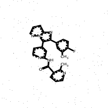 Cc1cc(-c2nc3cccnn3c2-c2ccnc(NC(=O)c3cccnc3C)c2)ccc1F